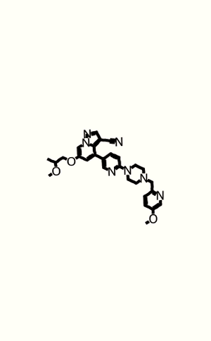 COc1ccc(CN2CCN(c3ccc(-c4cc(OCC(C)OC)cn5ncc(C#N)c45)cn3)CC2)nc1